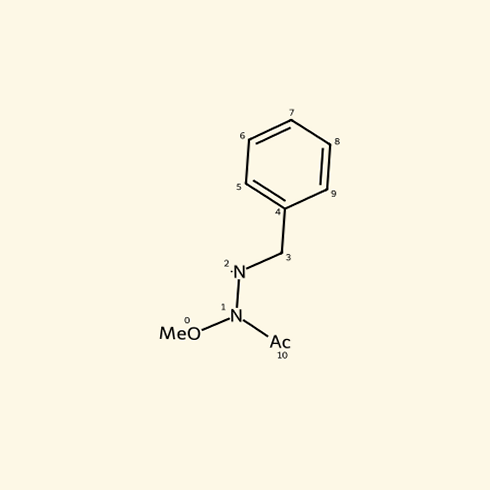 CON([N]Cc1ccccc1)C(C)=O